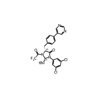 CC(C)(C)[C@@H]1N(c2cc(Cl)cc(Cl)c2)C(=O)[C@@H](Cc2ccc(-c3cncnc3)cc2)N1C(=O)C(F)(F)F